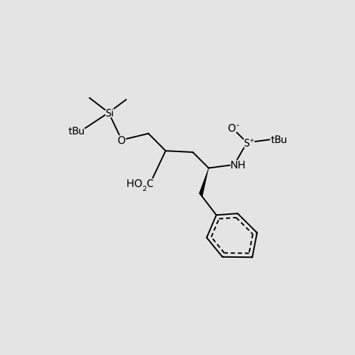 CC(C)(C)[S+]([O-])N[C@@H](Cc1ccccc1)CC(CO[Si](C)(C)C(C)(C)C)C(=O)O